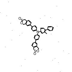 Cc1cc(N(c2ccc(-c3ccc4c(c3)COS(=O)C4)cc2)c2ccc(-c3ccc4c(c3)COS(=O)C4)cc2)ccc1-c1ccccc1